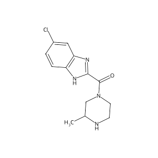 CC1CN(C(=O)c2nc3cc(Cl)ccc3[nH]2)CCN1